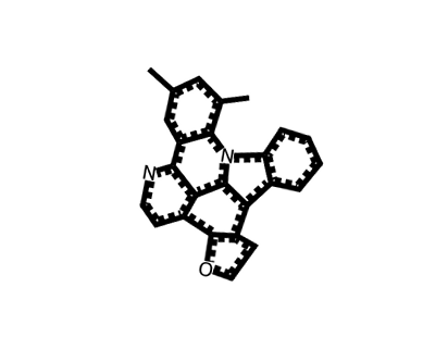 Cc1cc(C)c2c(c1)c1nccc3c4occc4c4c5ccccc5n2c4c31